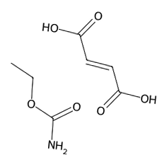 CCOC(N)=O.O=C(O)C=CC(=O)O